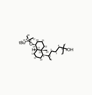 CC(CCCC(C)(C)O)[C@H]1CCC[C@H]2[C@@H](O[Si](C)(C)C(C)(C)C)CCC[C@]12C